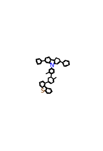 CC1=CC=C(c2cccc3sc4ccccc4c23)CC1c1ccc(-n2c3c(c4ccc(-c5ccccc5)cc42)CCC(c2ccccc2)=C3)cc1C